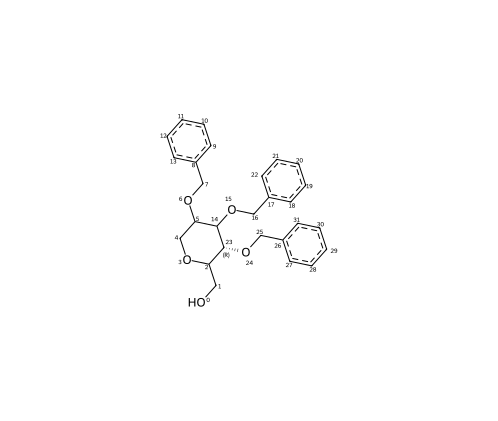 OCC1OCC(OCc2ccccc2)C(OCc2ccccc2)[C@@H]1OCc1ccccc1